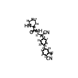 N#Cc1ccc(-c2ccc([C@@H](C#N)CNC(=O)[C@@H]3CCCCN3)cc2)cc1F